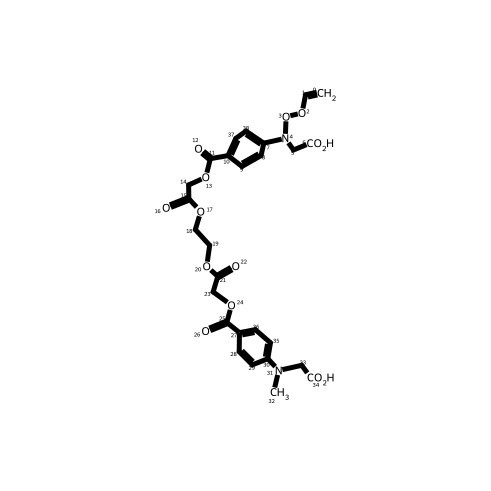 C=COON(CC(=O)O)c1ccc(C(=O)OCC(=O)OCCOC(=O)COC(=O)c2ccc(N(C)CC(=O)O)cc2)cc1